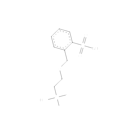 C[Si](C)(C)CCOCc1ccccc1S(N)(=O)=O